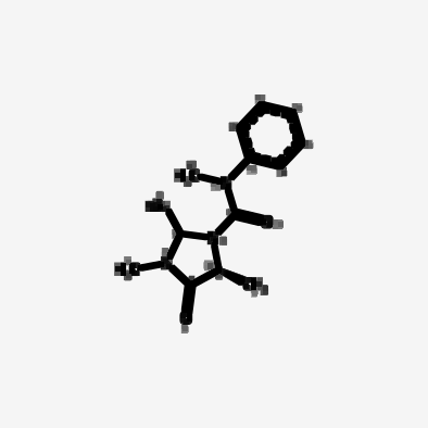 CCCCC1N(C)C(=O)[C@H](C)N1C(=O)N(C)c1ccccc1